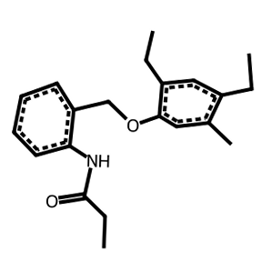 CCC(=O)Nc1ccccc1COc1cc(C)c(CC)cc1CC